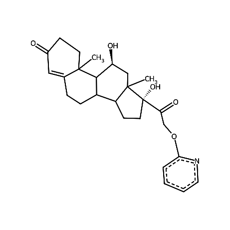 CC12CCC(=O)C=C1CCC1C2[C@@H](O)CC2(C)C1CC[C@]2(O)C(=O)COc1ccccn1